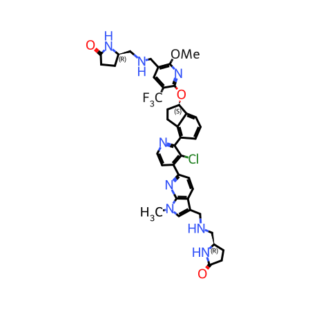 COc1nc(O[C@H]2CCc3c(-c4nccc(-c5ccc6c(CNC[C@H]7CCC(=O)N7)cn(C)c6n5)c4Cl)cccc32)c(C(F)(F)F)cc1CNC[C@H]1CCC(=O)N1